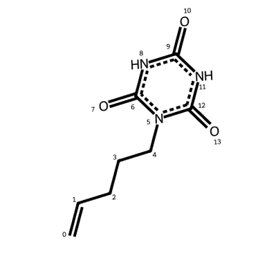 C=CCCCn1c(=O)[nH]c(=O)[nH]c1=O